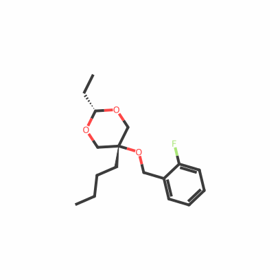 CCCC[C@]1(OCc2ccccc2F)CO[C@@H](CC)OC1